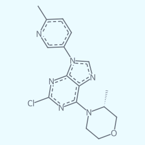 Cc1ccc(-n2cnc3c(N4CCOC[C@H]4C)nc(Cl)nc32)cn1